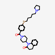 O=C(c1ccc(SCCCCCN2CCCC2)cc1)N1CCC(N2C(=O)CCc3ccccc32)CC1